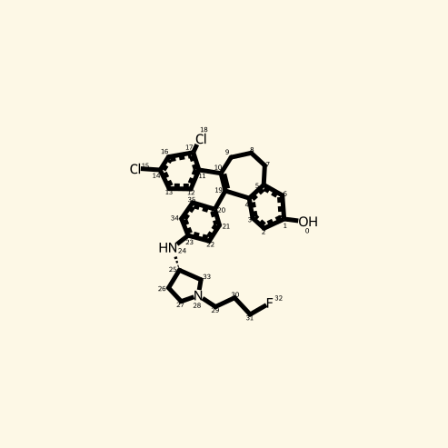 Oc1ccc2c(c1)CCCC(c1ccc(Cl)cc1Cl)=C2c1ccc(N[C@H]2CCN(CCCF)C2)cc1